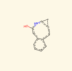 Oc1cc2ccccc2ccc2c([nH]1)C2